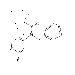 O=C(CCl)N(Cc1ccccc1)c1cccc(F)c1